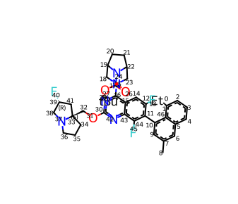 CCc1cccc2cc(C)cc(-c3c(F)cc4c(N5CC6CCC(C5)N6C(=O)OC(C)(C)C)nc(OC[C@@]56CCCN5C[C@H](F)C6)nc4c3F)c12